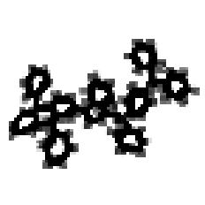 c1ccc(-c2c3ccccc3c(-c3ccccc3)c3cc(-c4ccc(N(c5ccccc5)c5ccc(N(c6ccccc6)c6ccccc6)cc5)c5ccccc45)ccc23)cc1